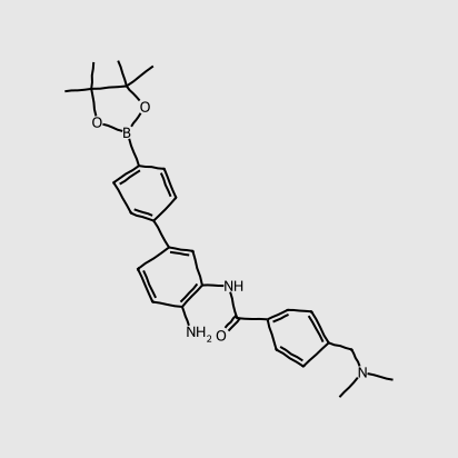 CN(C)Cc1ccc(C(=O)Nc2cc(-c3ccc(B4OC(C)(C)C(C)(C)O4)cc3)ccc2N)cc1